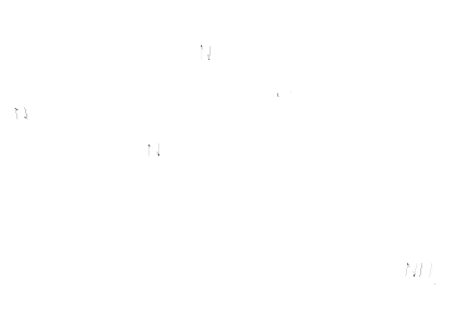 N#Cc1cnc(OC2=CC=C(N)CC2)cn1